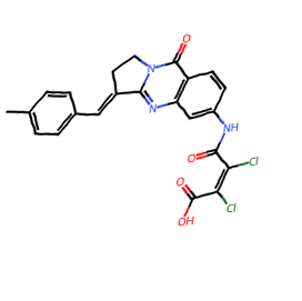 Cc1ccc(/C=C2\CCn3c2nc2cc(NC(=O)/C(Cl)=C(/Cl)C(=O)O)ccc2c3=O)cc1